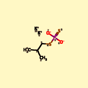 CC(C)CSP([O-])([O-])=S.[K+].[K+]